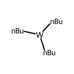 CCC[CH2][W]([CH2]CCC)[CH2]CCC